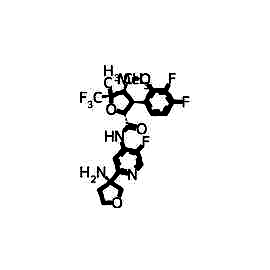 COc1c([C@H]2[C@H](C(=O)Nc3cc([C@@]4(N)CCOC4)ncc3F)O[C@@](C)(C(F)(F)F)[C@H]2C)ccc(F)c1F